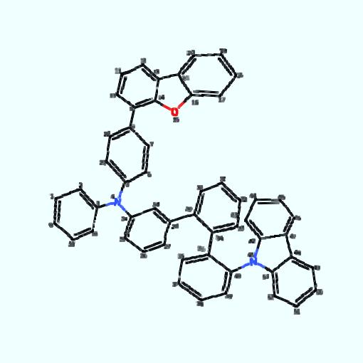 c1ccc(N(c2ccc(-c3cccc4c3oc3ccccc34)cc2)c2cccc(-c3ccccc3-c3ccccc3-n3c4ccccc4c4ccccc43)c2)cc1